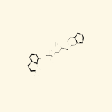 COc1ccc2cccc(OCC(=O)NCC(O)CN3CCc4ccccc4C3)c2n1